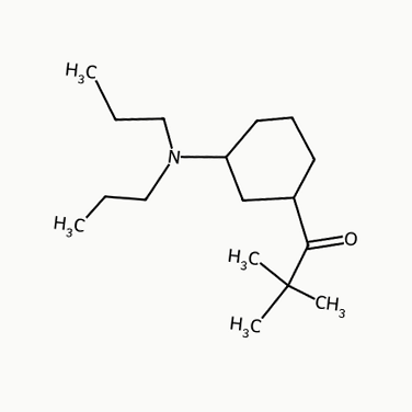 CCCN(CCC)C1CCCC(C(=O)C(C)(C)C)C1